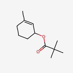 CC1=CC(OC(=O)C(C)(C)C)CCC1